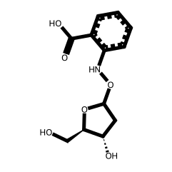 O=C(O)c1ccccc1NOC1C[C@H](O)[C@@H](CO)O1